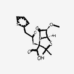 CO[C@@H]1C(=O)N2[C@@H]1SC(C)(C)[C@]2(SC(=O)Cc1cccs1)C(=O)O